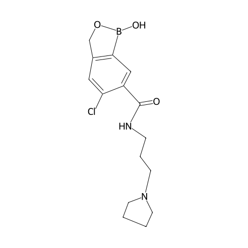 O=C(NCCCN1CCCC1)c1cc2c(cc1Cl)COB2O